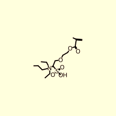 C=C(C)C(=O)OCCOCC([N+](CC)(CC)CCC)S(=O)(=O)O